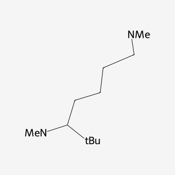 CNCCCCC(NC)C(C)(C)C